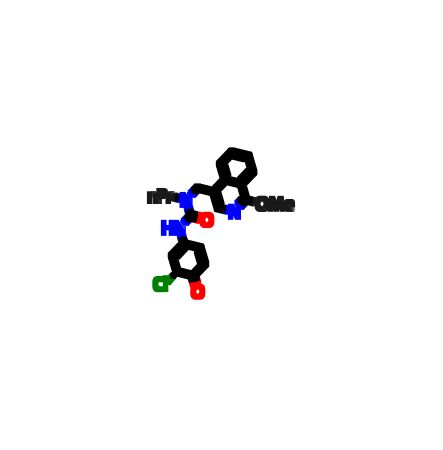 CCCN(Cc1cnc(OC)c2ccccc12)C(=O)NC1=C[C@H](Cl)C(=O)C=C1